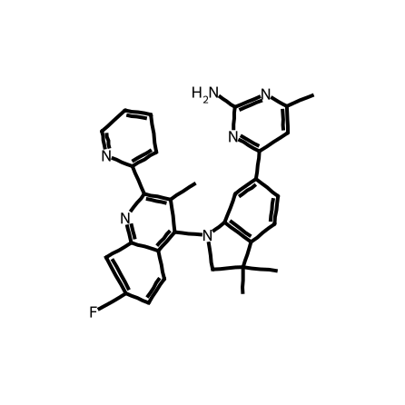 Cc1cc(-c2ccc3c(c2)N(c2c(C)c(-c4ccccn4)nc4cc(F)ccc24)CC3(C)C)nc(N)n1